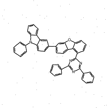 c1ccc(-c2nc(-c3ccccc3)nc(-c3cccc4oc5cc(-c6ccc7c(c6)c6ccccc6n7-c6ccccc6)ccc5c34)n2)cc1